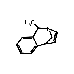 CC1c2ccccc2C2C=CN1C2